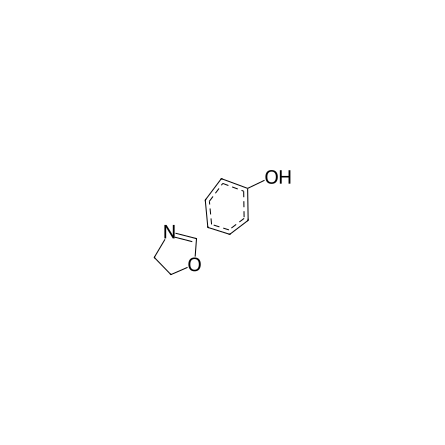 C1=NCCO1.Oc1ccccc1